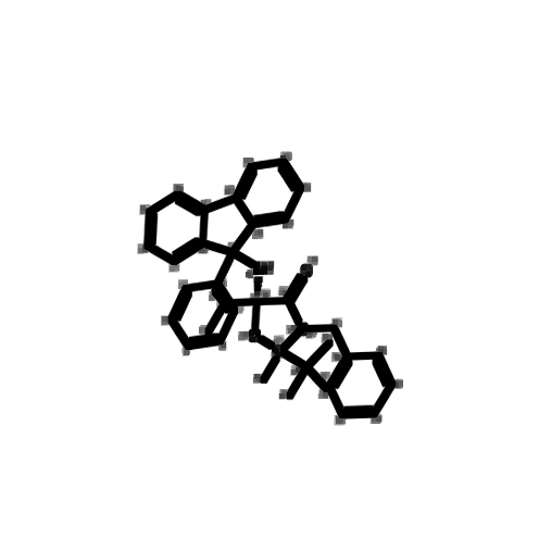 CC(C)[C@](NC1(c2ccccc2)c2ccccc2-c2ccccc21)(O[Si](C)(C)C(C)(C)C)C(=O)OCc1ccccc1